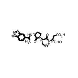 C=C(N[C@@H]1CCN([C@@H](CC(C)C)C(=O)N[C@H](C=O)CC(=O)O)C1=O)c1ccc2[nH]nnc2c1